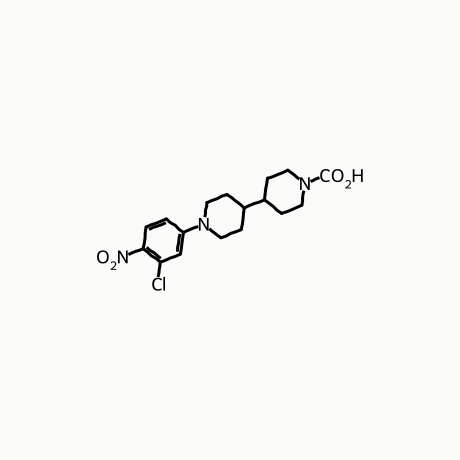 O=C(O)N1CCC(C2CCN(c3ccc([N+](=O)[O-])c(Cl)c3)CC2)CC1